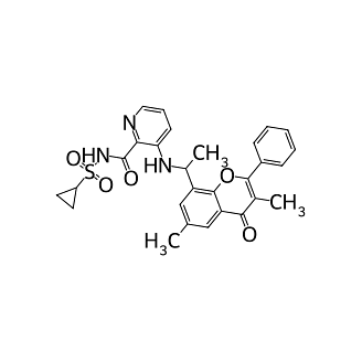 Cc1cc(C(C)Nc2cccnc2C(=O)NS(=O)(=O)C2CC2)c2oc(-c3ccccc3)c(C)c(=O)c2c1